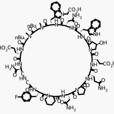 CCCC[C@H]1C(=O)N(C)[C@@H](CCCC)C(=O)N[C@@H](CCC(=O)O)C(=O)N[C@H](C(N)=O)CNCC(=O)N[C@@H](Cc2ccc(F)cc2)C(=O)N2CCCC[C@H]2C(=O)N[C@@H](CC(N)=O)C(=O)N2CCC[C@H]2C(=O)N[C@@H](CCC(N)=O)C(=O)N[C@@H](CCC(=O)O)C(=O)N2C[C@H](O)C[C@H]2C(=O)N[C@@H](Cc2c[nH]c3ccccc23)C(=O)N[C@@H](CC(N)=O)C(=O)N[C@@H](Cc2cn(CC(=O)O)c3ccccc23)C(=O)N1C